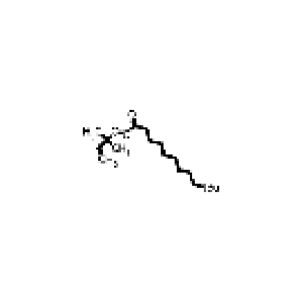 C=CC(C)(C)OOC(=O)CCCCCCCCC(C)(C)C